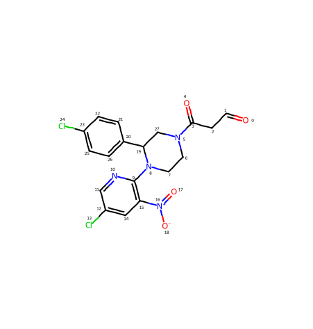 O=CCC(=O)N1CCN(c2ncc(Cl)cc2[N+](=O)[O-])C(c2ccc(Cl)cc2)C1